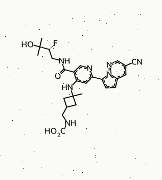 CC1(Nc2cc(-c3ccc4cc(C#N)cnn34)ncc2C(=O)NC[C@@H](F)C(C)(C)O)CC(CNC(=O)O)C1